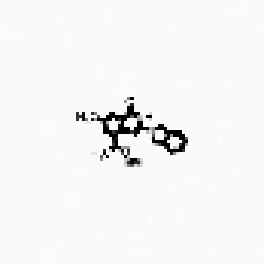 C=C(OCCCC)c1cc(C)cc2c(=O)[nH]c(N3Cc4ccccc4C3)nc12